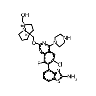 Nc1nc2c(-c3c(Cl)cc4c(N5CCNCC5)nc(OC[C@@]56CCCN5[C@@H](CO)CC6)nc4c3F)cccc2s1